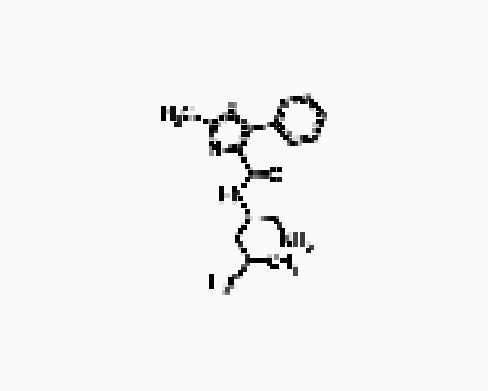 Cc1nc(C(=O)N[C@@H](CN)CC(C)C)c(-c2ccccc2)s1